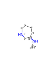 CC(C)N[C@@H]1CCCCNC1